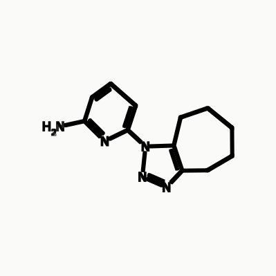 Nc1cccc(-n2nnc3c2CCCCC3)n1